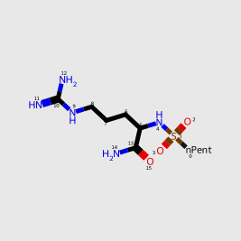 CCCCCS(=O)(=O)NC(CCCNC(=N)N)C(N)=O